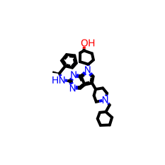 C[C@H](Nc1ncc2c(C3CCN(CC4CCCCC4)CC3)cn(C3CCC(O)CC3)c2n1)c1ccccc1